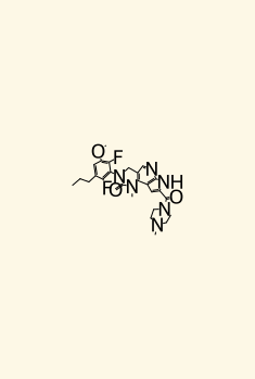 CCCc1cc(OC)c(F)c(N2Cc3cnc4[nH]c(C(=O)N5CCN(C)CC5)cc4c3N(C)C2=O)c1F